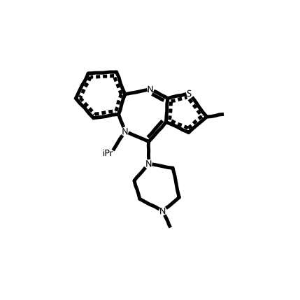 Cc1cc2c(s1)=Nc1ccccc1N(C(C)C)C=2N1CCN(C)CC1